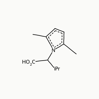 Cc1ccc(C)n1C(C(=O)O)C(C)C